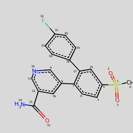 CS(=O)(=O)c1ccc(-c2cncc(C(N)=O)c2)c(-c2ccc(F)cc2)c1